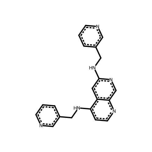 c1cncc(CNc2cc3c(NCc4cccnc4)ccnc3cn2)c1